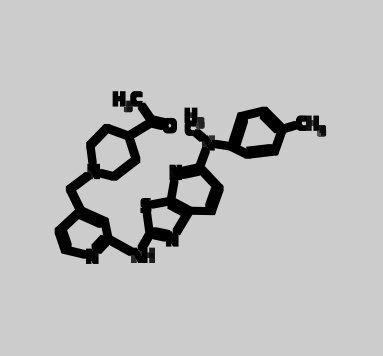 CC(=O)C1CCN(Cc2ccnc(Nc3nc4ccc(N(C)c5ccc(C)cc5)nc4s3)c2)CC1